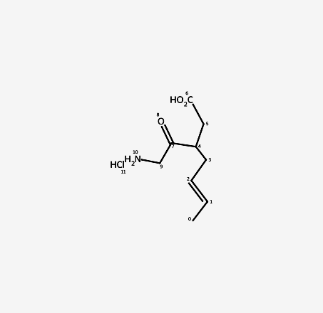 CC=CCC(CC(=O)O)C(=O)CN.Cl